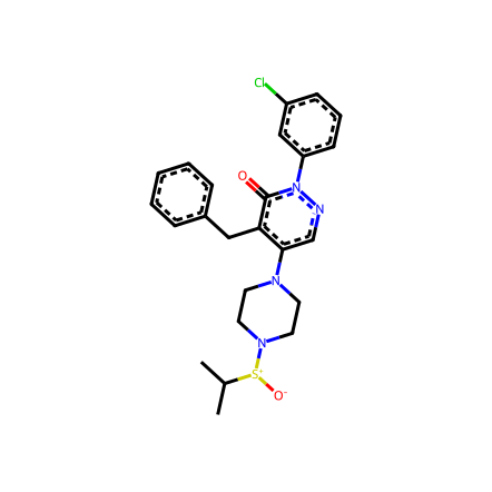 CC(C)[S+]([O-])N1CCN(c2cnn(-c3cccc(Cl)c3)c(=O)c2Cc2ccccc2)CC1